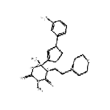 CN1C(=N)N[C@](C)(C2=CC(c3cccc(N)c3)CS2)[C@@H](CCN2CCOCC2)C1=O